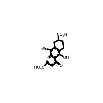 CCCc1c2c(c(O)c3c(=O)cc(C(=O)O)oc13)CCC(C(=O)O)C2